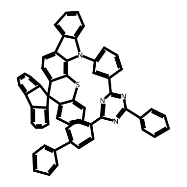 c1ccc(-c2ccc(-c3nc(-c4ccccc4)nc(-c4cccc(-n5c6ccccc6c6ccc7c(c65)Sc5ccccc5C75c6ccccc6-c6ccccc65)c4)n3)cc2)cc1